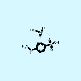 NNc1ccc(S(=O)(=O)O)cc1.O=[N+]([O-])O